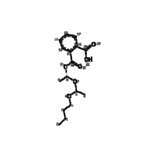 CCCCOC(C)OC(C)OC(=O)c1ccccc1C(=O)O